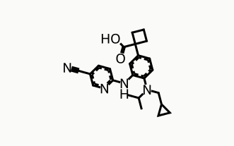 CC(C)N(CC1CC1)c1ccc(C2(C(=O)O)CCC2)cc1Nc1ccc(C#N)cn1